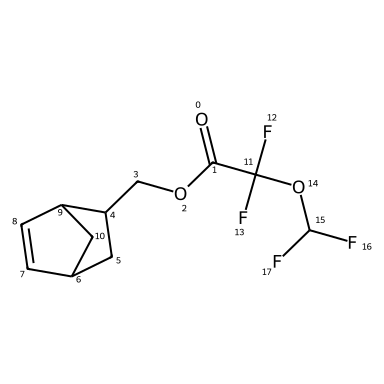 O=C(OCC1CC2C=CC1C2)C(F)(F)OC(F)F